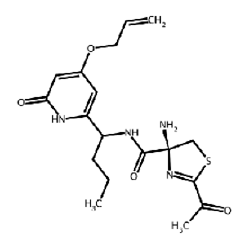 C=CCOc1cc(C(CCC)NC(=O)[C@]2(N)CSC(C(C)=O)=N2)[nH]c(=O)c1